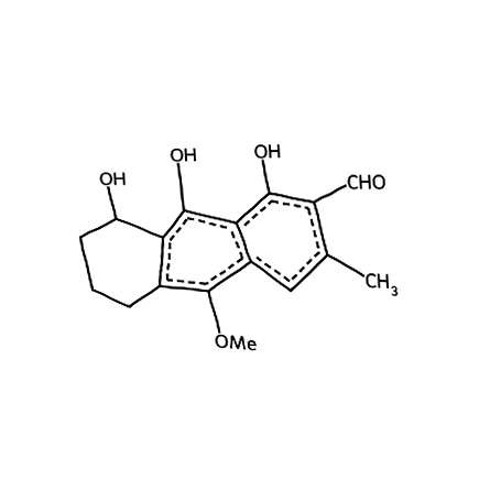 COc1c2c(c(O)c3c(O)c(C=O)c(C)cc13)C(O)CCC2